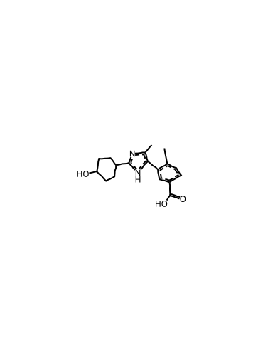 Cc1ccc(C(=O)O)cc1-c1[nH]c(C2CCC(O)CC2)nc1C